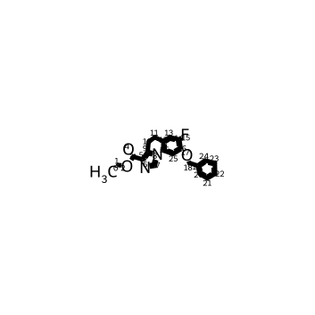 CCOC(=O)c1ncn2c1CCc1cc(F)c(OCc3ccccc3)cc1-2